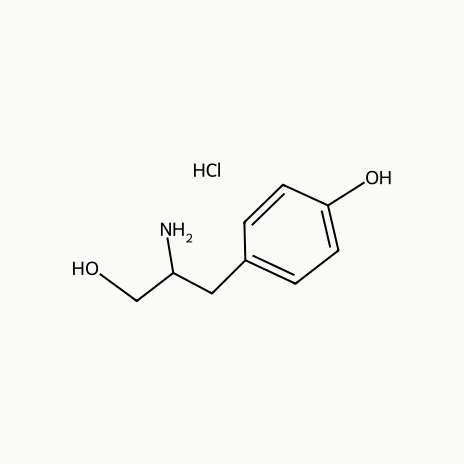 Cl.NC(CO)Cc1ccc(O)cc1